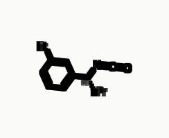 CCC[C@@H](N=C=O)c1cccc(CC)c1